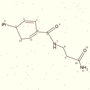 CC(C)C1C=CC(C(=O)NCCC(N)=O)=CC1